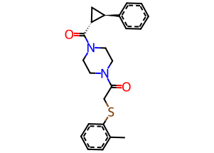 Cc1ccccc1SCC(=O)N1CCN(C(=O)[C@@H]2C[C@H]2c2ccccc2)CC1